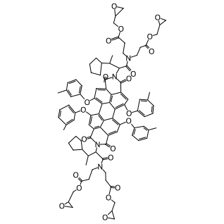 Cc1cccc(Oc2cc3c4c(cc(Oc5cccc(C)c5)c5c6c(Oc7cccc(C)c7)cc7c8c(cc(Oc9cccc(C)c9)c(c2c45)c86)C(=O)N(C(C(=O)N(CCC(=O)OCC2CO2)CCC(=O)OCC2CO2)C(C)C2CCCC2)C7=O)C(=O)N(C(C(=O)N(CCC(=O)OCC2CO2)CCC(=O)OCC2CO2)C(C)C2CCCC2)C3=O)c1